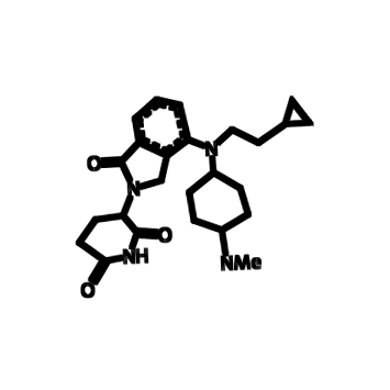 CNC1CCC(N(CCC2CC2)c2cccc3c2CN(C2CCC(=O)NC2=O)C3=O)CC1